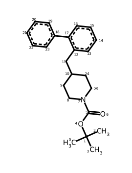 CC(C)(C)OC(=O)N1CCC(Cc2ccccc2-c2ccccc2)CC1